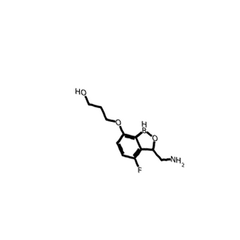 NCC1OBc2c(OCCCO)ccc(F)c21